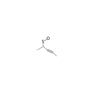 [CH2]C(C#CC)[S+]=O